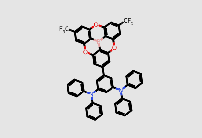 FC(F)(F)c1cc2c3c(c1)Oc1cc(C(F)(F)F)cc4c1B3c1c(cc(-c3cc(N(c5ccccc5)c5ccccc5)cc(N(c5ccccc5)c5ccccc5)c3)cc1O4)O2